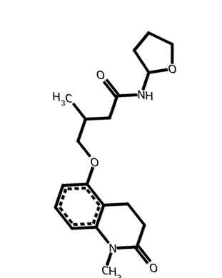 CC(COc1cccc2c1CCC(=O)N2C)CC(=O)NC1CCCO1